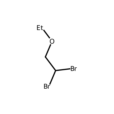 CCOCC(Br)Br